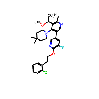 Cc1ncc(-c2cnc(OCCc3ccccc3Cl)c(F)c2)c(N2CCC(C)(C)CC2)c1C(OC(C)(C)C)C(=O)O